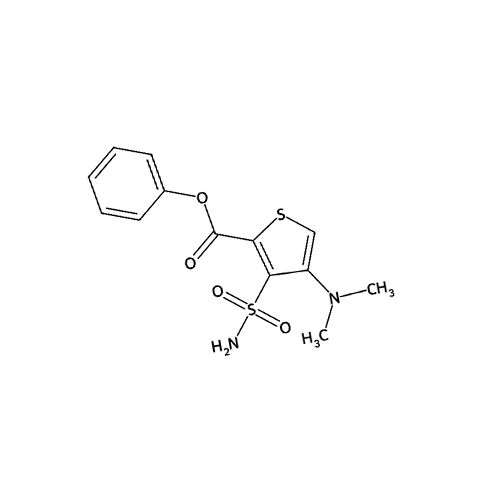 CN(C)c1csc(C(=O)Oc2ccccc2)c1S(N)(=O)=O